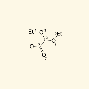 CCOC(OCC)C([O])=O